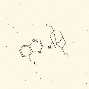 Cc1cccc(C)c1NC(=O)NC12CC3CC(C)(CC(C)(C3)C1)C2